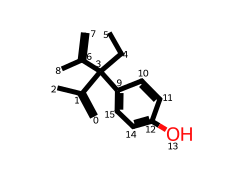 C=C(C)C(CC)(C(=C)C)c1ccc(O)cc1